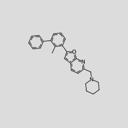 Cc1c(-c2ccccc2)cccc1-c1cc2ccc(CN3CCCCC3)nc2o1